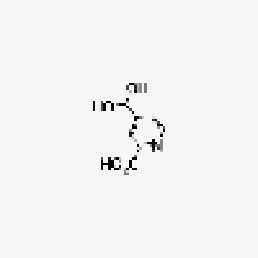 O=C(O)c1cc(C(O)O)ccn1